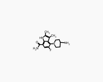 Cc1[nH]c2c(C(N)=O)cc(F)c(N3CCC(N)CC3)c2c1C